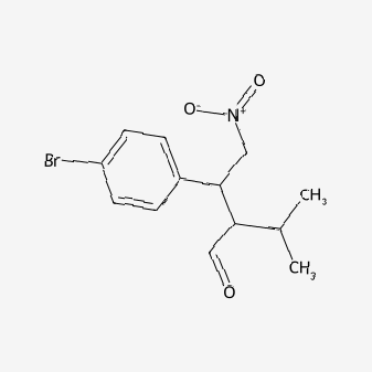 CC(C)C(C=O)C(C[N+](=O)[O-])c1ccc(Br)cc1